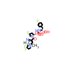 CC(C)(C=C(C#N)C(=O)N1C[C@H](F)C[C@@H]1COC(=O)N[C@@H](Cc1ccc(F)cc1)B(O)O)N1CCC(F)(F)C1